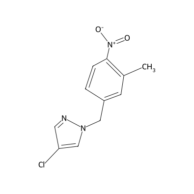 Cc1cc(Cn2cc(Cl)cn2)ccc1[N+](=O)[O-]